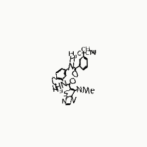 CNc1c(C(=O)Nc2cc(NC(=O)c3cccc(C(C)(C)C#N)c3)ccc2C)sc2nccnc12